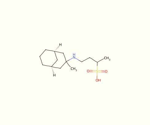 CC(CCNC1(C)C[C@@H]2CCC[C@@H](C2)C1)S(=O)(=O)O